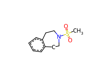 CS(=O)(=O)N1CCc2ccccc2CC1